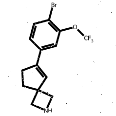 FC(F)(F)Oc1cc(C2=CC3(CC2)CNC3)ccc1Br